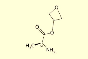 C[C@H](N)C(=O)OC1COC1